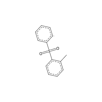 Cc1ccccc1S(=O)(=O)c1[c]cccc1